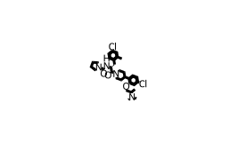 Cc1cc(Cl)ccc1C[C@@H](NC(=O)N1CCCC1)C(=O)N1CCC(c2ccc(Cl)cc2OCC(C)N(C)C)CC1